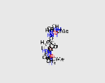 COC(=O)N[C@H]1C(=O)N2[C@H](c3nc4cc(/C(C)=C5/C=C\[C@H](C)CCc6ccc(cc6-c6ccc7[nH]c([C@@H]8C[C@@H]9CCCC%10C(C)[C@@H](NC(=O)OC)C(=O)N8[C@@H]%109)nc7c6)CC5)ccc4[nH]3)C[C@@H]3CCCC(C1C)[C@@H]32